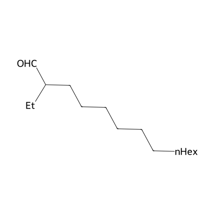 CCCCCCCCCCCCC(C=O)CC